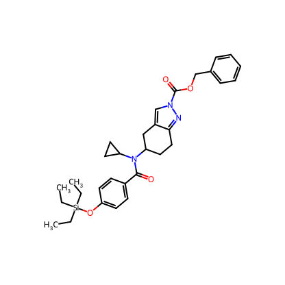 CC[Si](CC)(CC)Oc1ccc(C(=O)N(C2CC2)C2CCc3nn(C(=O)OCc4ccccc4)cc3C2)cc1